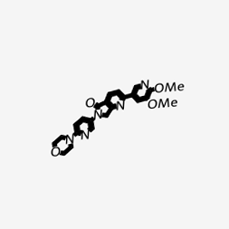 COc1cc(-c2ccc3c(n2)CN(c2ccc(N4CCOCC4)nc2)C3=O)cnc1OC